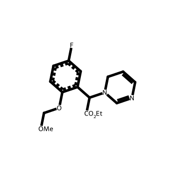 CCOC(=O)C(c1cc(F)ccc1OCOC)N1C=NC=CC1